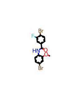 COc1cc(Br)ccc1NC(=O)c1ccc(Br)c(F)c1